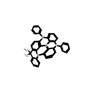 CC1(C)c2ccccc2B2c3cccc4c3B3c5c(cccc5N(c5ccccc5)c5ccc1c2c53)N4c1ccccc1